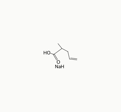 C=CCC(C)C(=O)O.[NaH]